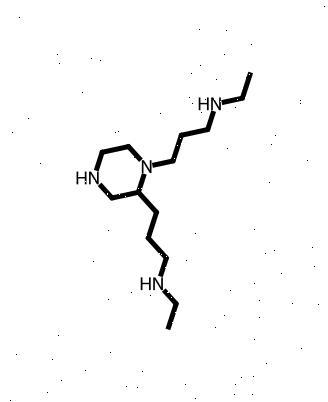 CCNCCCC1CNCCN1CCCNCC